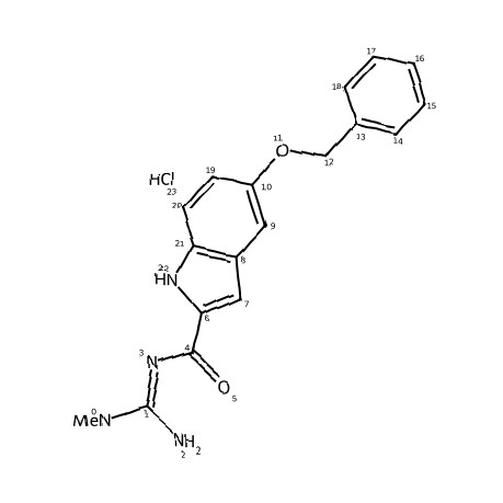 CNC(N)=NC(=O)c1cc2cc(OCc3ccccc3)ccc2[nH]1.Cl